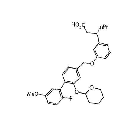 CCC[C@@H](CC(=O)O)c1cccc(OCc2ccc(-c3cc(OC)ccc3F)c(OC3CCCCO3)c2)c1